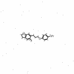 CCCc1ccc(OCCCc2cc3c(cc2C)CCO3)cc1